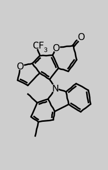 Cc1cc(C)c2c(c1)c1ccccc1n2-c1c2ccoc2c(C(F)(F)F)c2oc(=O)ccc12